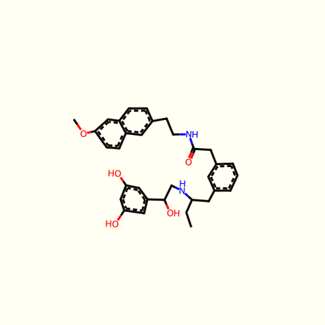 CCC(Cc1cccc(CC(=O)NCCc2ccc3cc(OC)ccc3c2)c1)NCC(O)c1cc(O)cc(O)c1